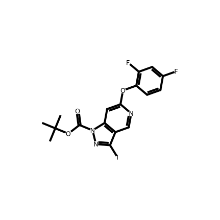 CC(C)(C)OC(=O)n1nc(I)c2cnc(Oc3ccc(F)cc3F)cc21